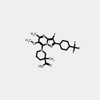 COc1c(C)nc2c(F)c(C3CCC(C(F)(F)F)CC3)nn2c1N1CCCC(C)(C(=O)O)C1